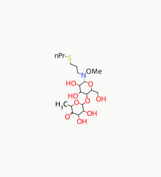 CCCSCCCN(OC)[C@@H]1OC(CO)[C@@H](O[C@@H]2OC(C)C(=O)C(O)C2O)C(O)C1O